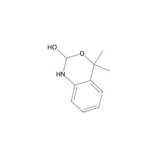 CC1(C)OC(O)Nc2ccccc21